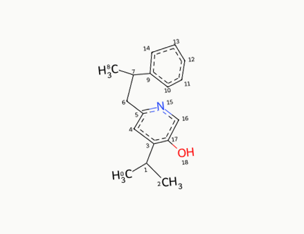 CC(C)c1cc(CC(C)c2ccccc2)ncc1O